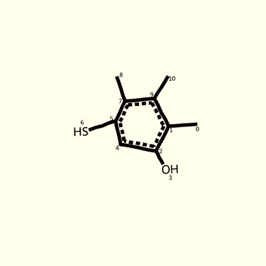 Cc1c(O)cc(S)c(C)c1C